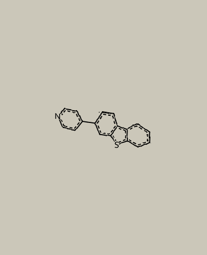 [c]1cc2c(cc1-c1ccncc1)sc1ccccc12